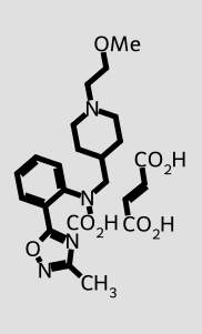 COCCN1CCC(CN(C(=O)O)c2ccccc2-c2nc(C)no2)CC1.O=C(O)C=CC(=O)O